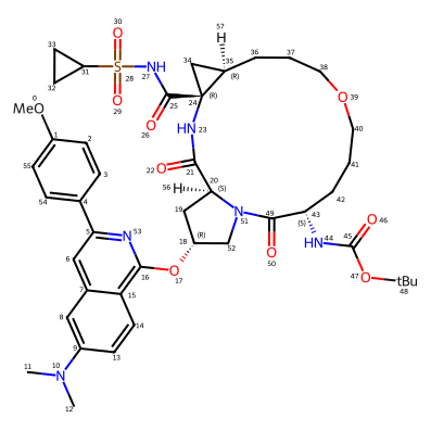 COc1ccc(-c2cc3cc(N(C)C)ccc3c(O[C@@H]3C[C@H]4C(=O)N[C@]5(C(=O)NS(=O)(=O)C6CC6)C[C@H]5CCCOCCC[C@H](NC(=O)OC(C)(C)C)C(=O)N4C3)n2)cc1